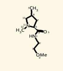 COCCNC(=O)[C@@H]1CC(C)CN1C